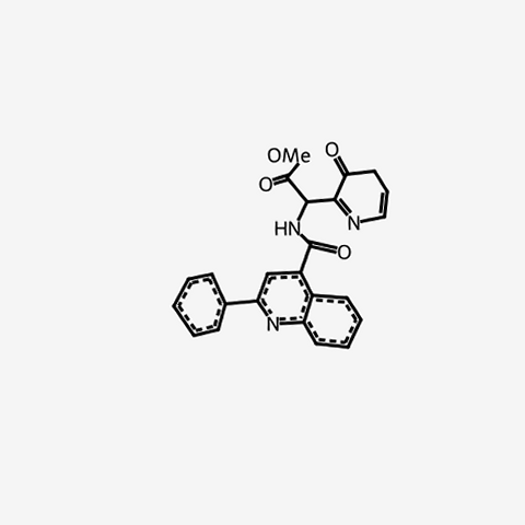 COC(=O)C(NC(=O)c1cc(-c2ccccc2)nc2ccccc12)C1=NC=CCC1=O